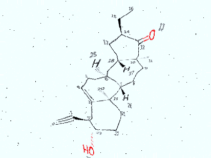 C#C[C@H]1C2=CC[C@@H]3[C@H](CC[C@]4(C)C(=O)[C@H](CC)C[C@@H]34)[C@@]2(C)CC[C@@H]1O